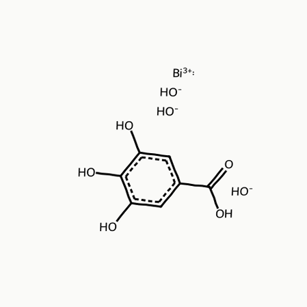 O=C(O)c1cc(O)c(O)c(O)c1.[Bi+3].[OH-].[OH-].[OH-]